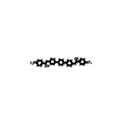 N#C/C(=C\c1ccc(-c2ccc(-c3ccc(/C=C(\C#N)c4ccc(C(F)(F)F)cc4)cc3)cc2)cc1)c1ccc(C(F)(F)F)cc1